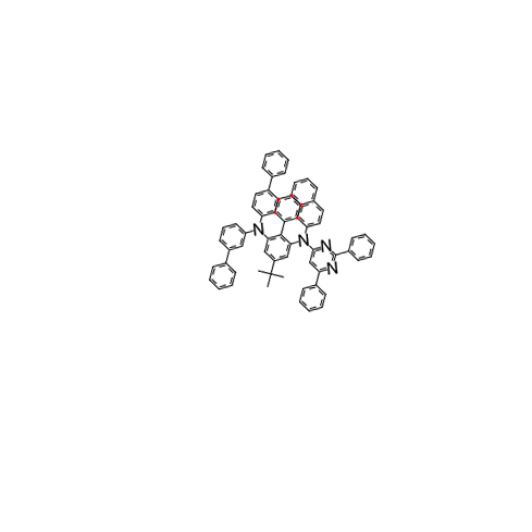 CC(C)(C)c1cc(N(c2ccc(-c3ccccc3)cc2)c2cccc(-c3ccccc3)c2)c(-c2ccccc2)c(N(c2ccc3ccccc3c2)c2cc(-c3ccccc3)nc(-c3ccccc3)n2)c1